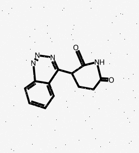 O=C1CCC(c2nnnc3ccccc23)C(=O)N1